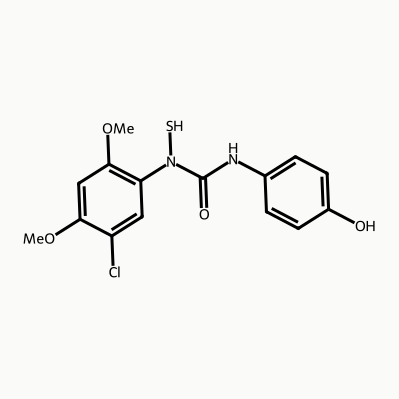 COc1cc(OC)c(N(S)C(=O)Nc2ccc(O)cc2)cc1Cl